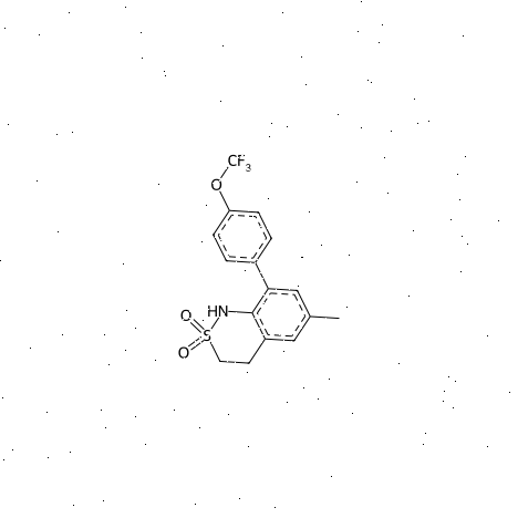 Cc1cc2c(c(-c3ccc(OC(F)(F)F)cc3)c1)NS(=O)(=O)CC2